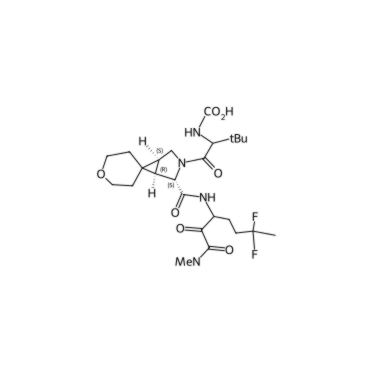 CNC(=O)C(=O)C(CCC(C)(F)F)NC(=O)[C@@H]1[C@@H]2[C@H](CN1C(=O)C(NC(=O)O)C(C)(C)C)C21CCOCC1